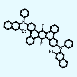 CCc1cc2ccccc2cc1N(c1ccccc1)c1ccc2c(c1)c1ccccc1c1c(F)c3c4ccc(N(c5ccccc5)c5cc6ccccc6cc5CC)cc4c4ccccc4c3c(F)c21